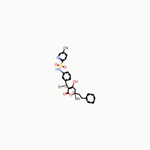 CCC[C@]1(CCc2ccccc2)CC(O)=C([C@@H](CC)c2cccc(NS(=O)(=O)c3ccc(C#N)cn3)c2)C(=O)O1